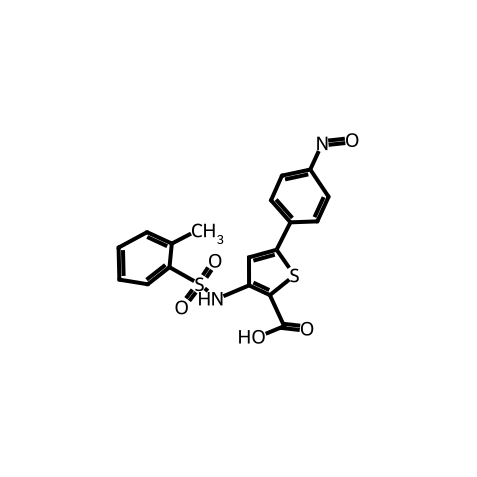 Cc1ccccc1S(=O)(=O)Nc1cc(-c2ccc(N=O)cc2)sc1C(=O)O